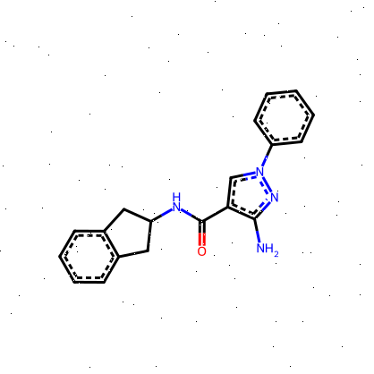 Nc1nn(-c2ccccc2)cc1C(=O)NC1Cc2ccccc2C1